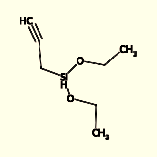 C#CC[SiH](OCC)OCC